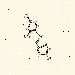 Clc1ccc(C=Nc2ccc(Cl)cc2Cl)cc1